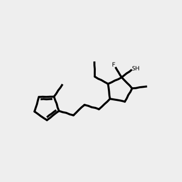 CCC1C(CCCC2=CCC=C2C)CC(C)C1(F)S